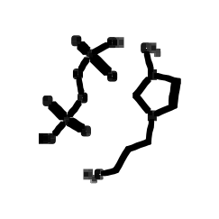 CCCCN1C=CN(C)C1.O=S(=O)(O)OOS(=O)(=O)O